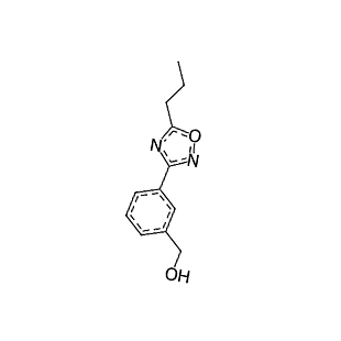 CCCc1nc(-c2cccc(CO)c2)no1